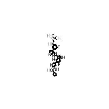 CN(C)CCNc1cc(F)cc(-c2ccnc3[nH]c(-c4n[nH]c5cc(F)c(-c6cncc(NC(O)C7CCCC7)c6)cc45)nc23)c1